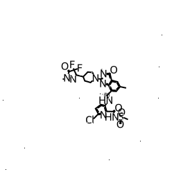 Cc1cc([C@@H](C)Nc2ccc(Cl)nc2C(=O)NS(C)(=O)=O)c2nc(N3CCC(C4=NN(C)C(=O)C4(F)F)CC3)n(C)c(=O)c2c1